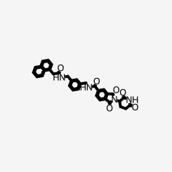 O=C(Cc1cccc2ccccc12)NCc1cccc(CNC(=O)c2ccc3c(c2)C(=O)N(C2CCC(=O)NC2=O)C3=O)c1